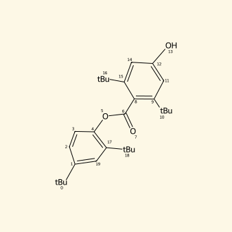 CC(C)(C)c1ccc(OC(=O)c2c(C(C)(C)C)cc(O)cc2C(C)(C)C)c(C(C)(C)C)c1